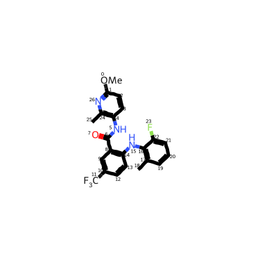 COc1ccc(NC(=O)c2cc(C(F)(F)F)ccc2Nc2c(C)cccc2F)c(C)n1